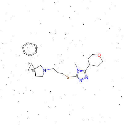 Cn1c(SCCCN2CC[C@]3(C[C@@H]3c3ccccc3)C2)nnc1C1CCOCC1